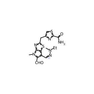 CCN(C)/N=C\c1c(C=O)n(C)c2nc(Cc3csc(C(N)=O)n3)sc12